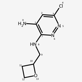 Nc1cc(Cl)nnc1NCC1CCO1